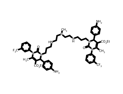 CCOC(=O)C1=C(C)N(c2cccc(C(F)(F)F)c2)C(=O)N(CCCNCCN(C)CCNCCCN2C(=O)N(c3cccc(C(F)(F)F)c3)C(C)=C(C(=O)OCC)C2c2ccc(N)cc2)C1c1ccc(N)cc1